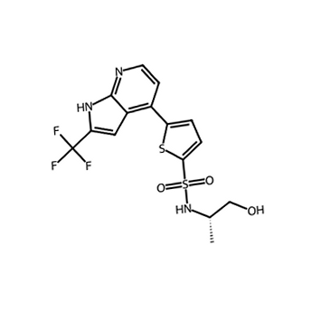 C[C@@H](CO)NS(=O)(=O)c1ccc(-c2ccnc3[nH]c(C(F)(F)F)cc23)s1